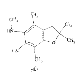 CNc1c(C)c(C)c2c(c1C)CC(C)(C)O2.Cl